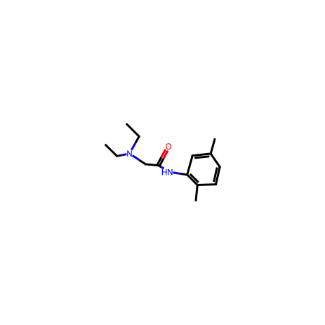 CCN(CC)CC(=O)Nc1cc(C)ccc1C